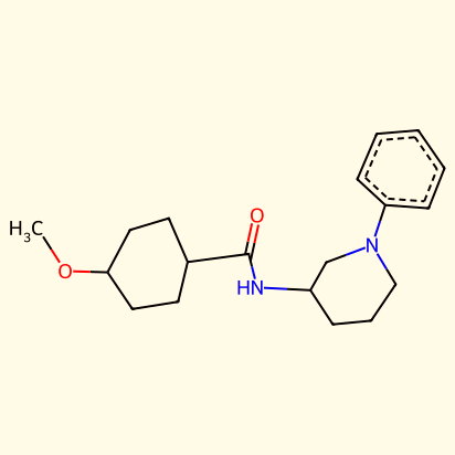 COC1CCC(C(=O)NC2CCCN(c3ccccc3)C2)CC1